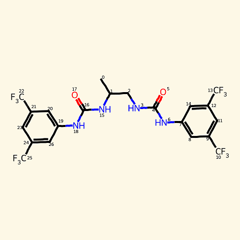 CC(CNC(=O)Nc1cc(C(F)(F)F)cc(C(F)(F)F)c1)NC(=O)Nc1cc(C(F)(F)F)cc(C(F)(F)F)c1